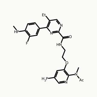 CCc1cnc(C(=O)NCCOc2cc(P)cnc2N(C)C(C)=O)nc1-c1ccc(PC)c(F)c1